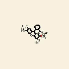 CCN=c1cc2oc3cc(NCC)c(C)cc3c(-c3ccccc3C(=O)O[Cl+3]([O-])([O-])[O-])c-2cc1C